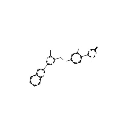 Cc1nc(-c2cc3ccccc3s2)sc1COc1ccc(-c2nc(=O)o[nH]2)c(Cl)c1